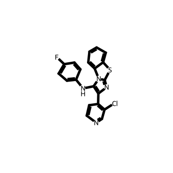 Fc1ccc(Nc2c(-c3ccncc3Cl)nc3sc4ccccc4n23)cc1